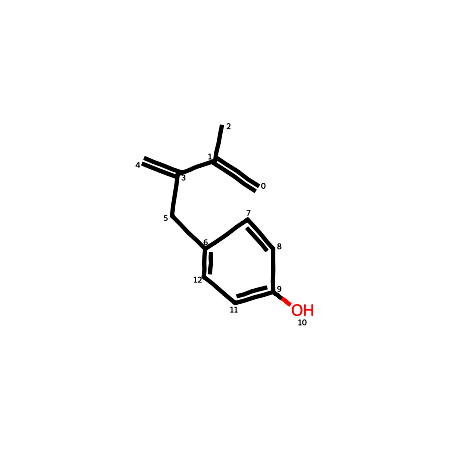 C=C(C)C(=C)Cc1ccc(O)cc1